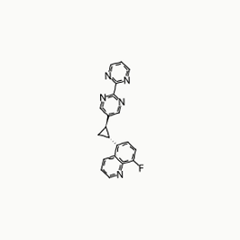 Fc1ccc([C@@H]2C[C@H]2c2cnc(-c3ncccn3)nc2)c2cccnc12